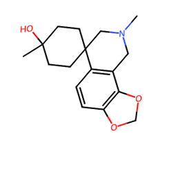 CN1Cc2c(ccc3c2OCO3)C2(CCC(C)(O)CC2)C1